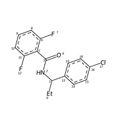 [CH2]CC(NC(=O)c1c(F)cccc1F)c1ccc(Cl)cc1